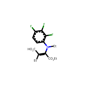 CCOC(=O)C(=C(CC)C(=O)O)N(CC)c1ccc(F)c(F)c1F